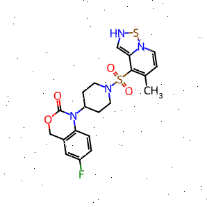 CC1=C(S(=O)(=O)N2CCC(N3C(=O)OCc4cc(F)ccc43)CC2)C2=CNSN2C=C1